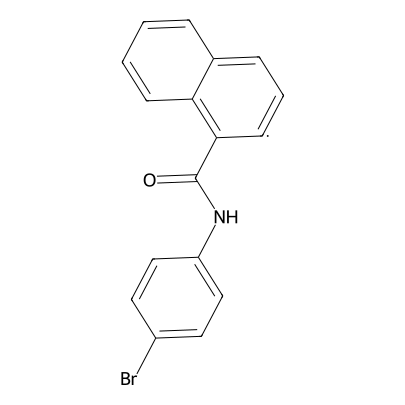 O=C(Nc1ccc(Br)cc1)c1[c]ccc2ccccc12